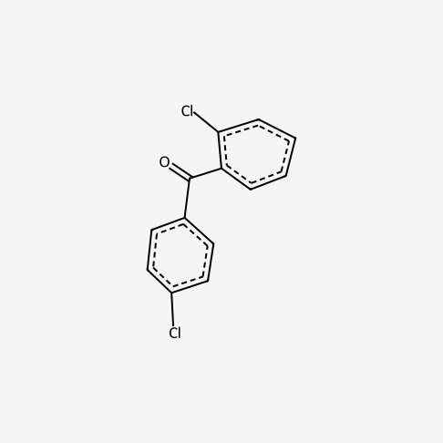 O=C(c1ccc(Cl)cc1)c1ccccc1Cl